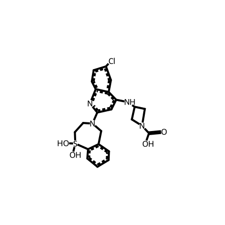 O=C(O)N1CC(Nc2cc(N3CCS(O)(O)c4ccccc4C3)nc3ccc(Cl)cc23)C1